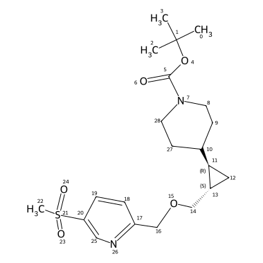 CC(C)(C)OC(=O)N1CCC([C@H]2C[C@@H]2COCc2ccc(S(C)(=O)=O)cn2)CC1